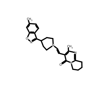 Cc1ccc2c(C3CCN(C=Cc4c(C)nc5n(c4=O)CCCC5)CC3)noc2c1